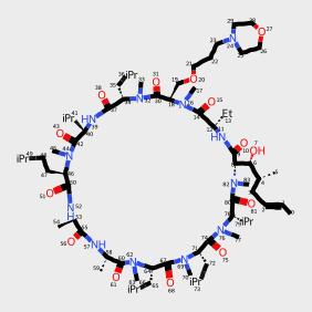 C/C=C/C[C@@H](C)[C@@H](O)[C@H]1C(=O)N[C@@H](CC)C(=O)N(C)[C@H](COCCCN2CCOCC2)C(=O)N(C)[C@@H](CC(C)C)C(=O)N[C@H](C(C)C)C(=O)N(C)[C@H](CCC(C)C)C(=O)N[C@H](C)C(=O)N[C@@H](C)C(=O)N(C)[C@@H](CC(C)C)C(=O)N(C)[C@@H](CC(C)C)C(=O)N(C)[C@@H](C(C)C)C(=O)N1C